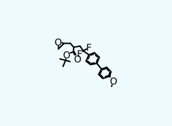 COc1ccc(-c2ccc(C(F)(F)CC(CC3CO3)C(=O)OC(C)(C)C)cc2)cc1